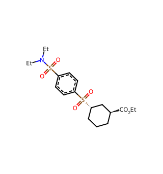 CCOC(=O)[C@H]1CCC[C@H](S(=O)(=O)c2ccc(S(=O)(=O)N(CC)CC)cc2)C1